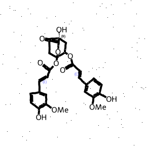 COc1cc(/C=C/C(=O)OC2C[C@]3(O)CCC2(OC(=O)/C=C/c2ccc(O)c(OC)c2)OC3=O)ccc1O